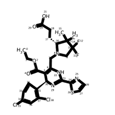 CCOC(=O)C1=C(CN2CC(F)(F)C(C)(C)[C@H]2CCC(=O)O)NC(c2nccs2)=N[C@H]1c1ccc(Cl)cc1Cl